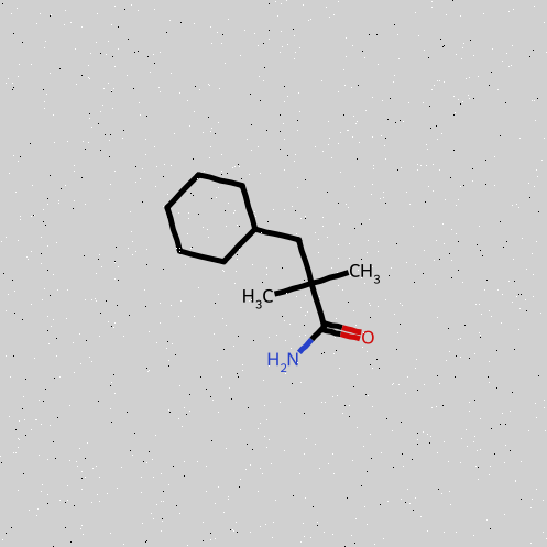 CC(C)(CC1CCCCC1)C(N)=O